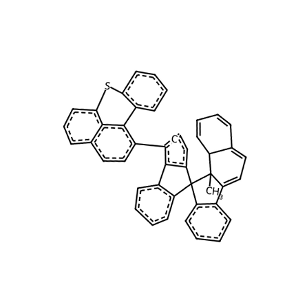 CC12C(=CC=C3C=CC=CC31)c1ccccc1C21c2ccccc2-c2c(-c3ccc4cccc5c4c3-c3ccccc3S5)cccc21